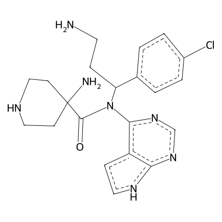 NCCC(c1ccc(Cl)cc1)N(C(=O)C1(N)CCNCC1)c1ncnc2[nH]ccc12